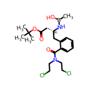 CB(O)N[C@@H](CC(=O)OC(C)(C)C)Cc1ccccc1C(=O)N(CCCl)CCCl